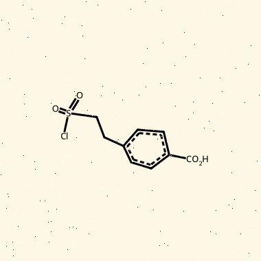 O=C(O)c1ccc(CCS(=O)(=O)Cl)cc1